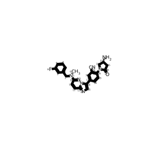 CN(Cc1cccc(F)c1)c1ccc2ncc(-c3ccc(N4C[C@@H](N)CC4=O)c(C#N)c3)n2n1